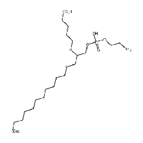 CCCCCCCCCCCCCCCCCCCCOCC(COP(=O)(O)OCCN)OCCCCC(=O)O